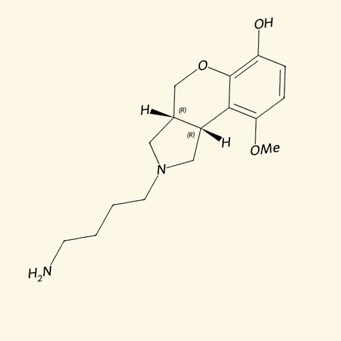 COc1ccc(O)c2c1[C@@H]1CN(CCCCN)C[C@@H]1CO2